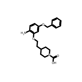 Nc1ccc(OCc2ccccc2)cc1OCCC1CCN(C(=O)O)CC1